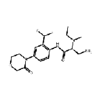 CCN(C)[C@@H](CN)C(=O)Nc1ccc(N2CCOCC2=O)cc1C(F)F